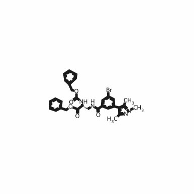 Cc1nn(C)c(C)c1-c1cc(Br)cc(C(=O)NC[C@@H](NC(=O)OCc2ccccc2)C(=O)OCc2ccccc2)c1